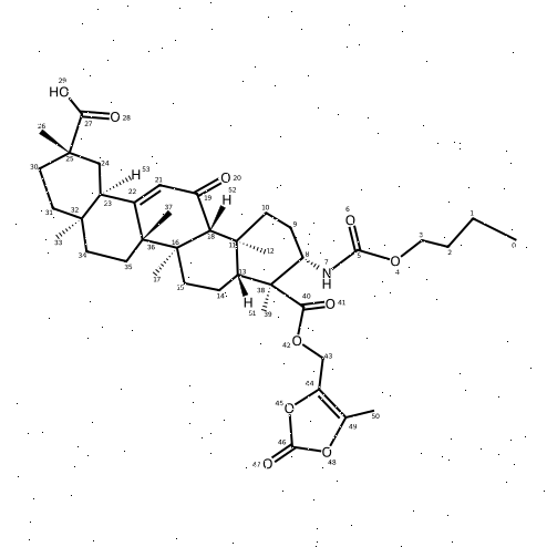 CCCCOC(=O)N[C@H]1CC[C@@]2(C)[C@@H](CC[C@]3(C)[C@@H]2C(=O)C=C2[C@@H]4C[C@@](C)(C(=O)O)CC[C@]4(C)CC[C@]23C)[C@]1(C)C(=O)OCc1oc(=O)oc1C